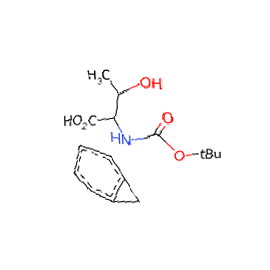 CC(O)C(NC(=O)OC(C)(C)C)C(=O)O.c1ccc2c(c1)C2